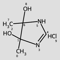 CC1(O)N=CNC1(C)O.Cl